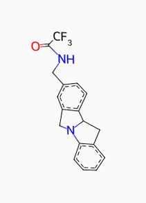 O=C(NCc1ccc2c(c1)CN1c3ccccc3CC21)C(F)(F)F